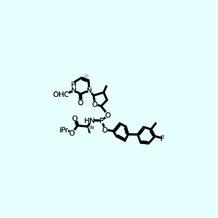 C/C=C\N(C(=O)NC=O)C1OC(OP(N[C@@H](C)C(=O)OC(C)C)Oc2ccc(-c3ccc(F)c(C)c3)cc2)CC1C